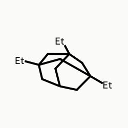 CCC12CC3CC(CC)(C1)CC(CC)(C3)C2